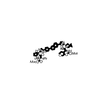 COC(=O)N[C@H](C(=O)N1[C@@H]2CC[C@@H](C2)[C@H]1C1=NCC(c2ccc(-c3ccc4cc(-c5cnc([C@@H]6CC7(CC7)CN6C(=O)[C@@H](NC(=O)OC)C6CCOCC6)[nH]5)ccc4c3)cc2)N1)C(C)C